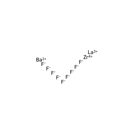 [Ba+2].[F-].[F-].[F-].[F-].[F-].[F-].[F-].[F-].[F-].[La+3].[Zr+4]